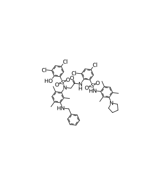 Cc1cc(C)c(N2CCCC2)c(C)c1NS(=O)(=O)c1cc(Cl)cc(Cl)c1NC(=O)CN(c1c(C)cc(C)c(NCc2ccccc2)c1C)S(=O)(=O)c1cc(Cl)cc(Cl)c1O